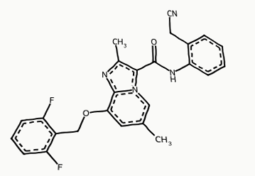 Cc1cc(OCc2c(F)cccc2F)c2nc(C)c(C(=O)Nc3ccccc3CC#N)n2c1